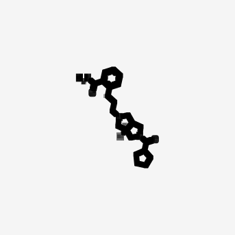 NC(=O)c1ccccc1[CH]CCN1CC2CN(C(=O)C3CCCC3)C[C@@H]2C1